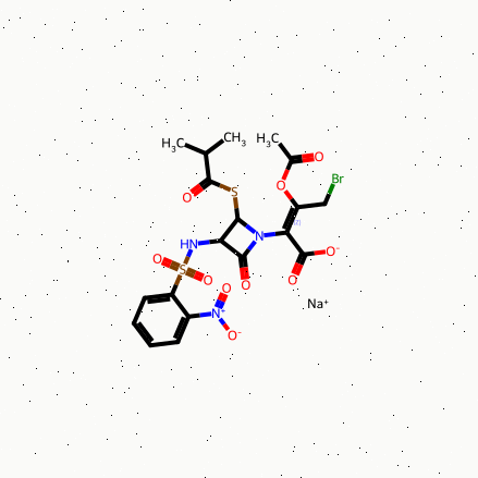 CC(=O)O/C(CBr)=C(/C(=O)[O-])N1C(=O)C(NS(=O)(=O)c2ccccc2[N+](=O)[O-])C1SC(=O)C(C)C.[Na+]